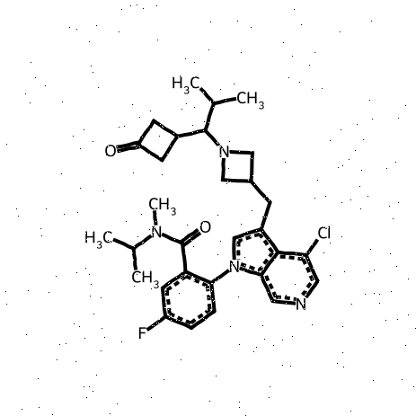 CC(C)C(C1CC(=O)C1)N1CC(Cc2cn(-c3ccc(F)cc3C(=O)N(C)C(C)C)c3cncc(Cl)c23)C1